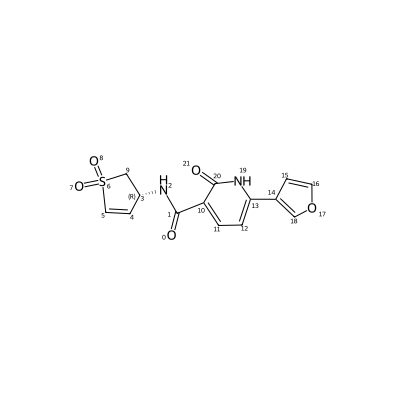 O=C(N[C@@H]1C=CS(=O)(=O)C1)c1ccc(-c2ccoc2)[nH]c1=O